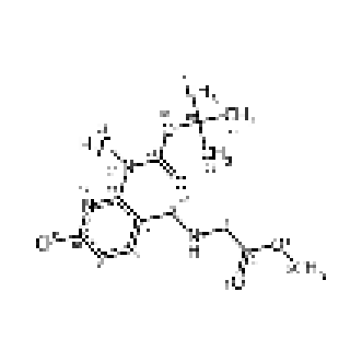 COC(=O)CNCc1ccc(Cl)nc1N(C)C(=O)OC(C)(C)C